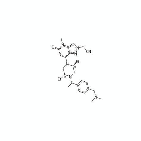 CC[C@H]1CN(C(C)c2ccc(CN(C)C)cc2)[C@H](CC)CN1c1cc(=O)n(C)c2cn(CC#N)nc12